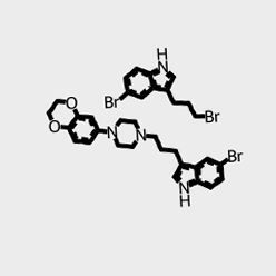 BrCCCc1c[nH]c2ccc(Br)cc12.Brc1ccc2[nH]cc(CCCN3CCN(c4ccc5c(c4)OCCO5)CC3)c2c1